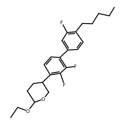 CCCCCc1ccc(-c2ccc(C3CCC(OCC)OC3)c(F)c2F)cc1F